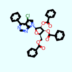 O=C(OC[C@H]1O[C@@H](n2cc(Cl)c3c(-c4ccccc4)ncnc32)[C@H](OC(=O)c2ccccc2)[C@@H]1OC(=O)c1ccccc1)c1ccccc1